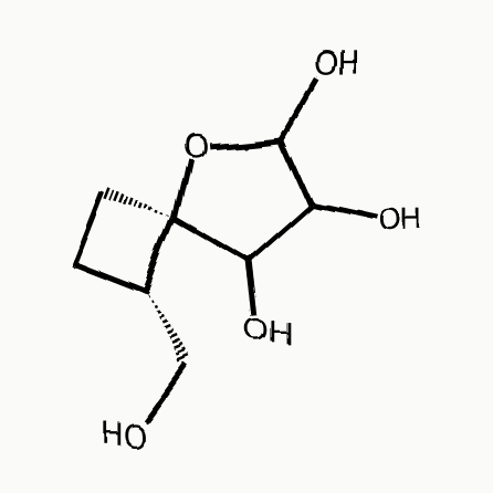 OC[C@@H]1CC[C@@]12OC(O)C(O)C2O